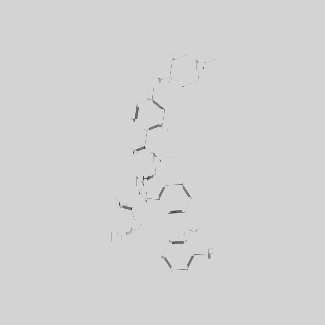 CN1CCC(Oc2ccc(C(=O)Nc3nn(C(=O)OC(C)(C)C)c4cc(Oc5ccccc5F)ccc34)cc2)CC1